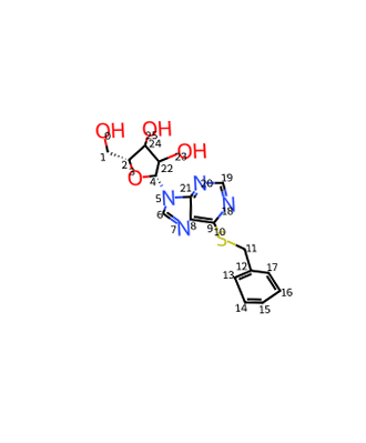 OC[C@H]1O[C@@H](n2cnc3c(SCc4ccccc4)ncnc32)C(O)C1O